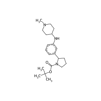 CN1CCC(Nc2cccc(C3CCCN3C(=O)OC(C)(C)C)c2)CC1